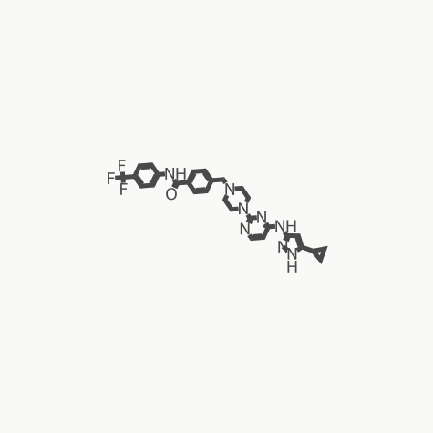 O=C(Nc1ccc(C(F)(F)F)cc1)c1ccc(CN2CCN(c3nccc(Nc4cc(C5CC5)[nH]n4)n3)CC2)cc1